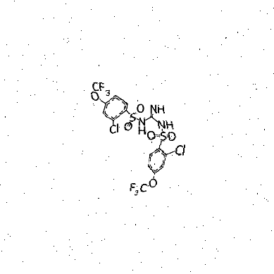 N=C(NS(=O)(=O)c1ccc(OC(F)(F)F)cc1Cl)NS(=O)(=O)c1ccc(OC(F)(F)F)cc1Cl